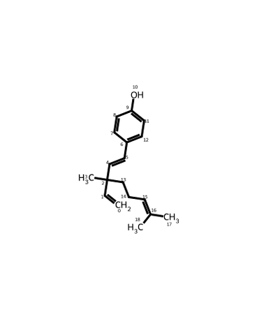 C=CC(C)(C=Cc1ccc(O)cc1)CCC=C(C)C